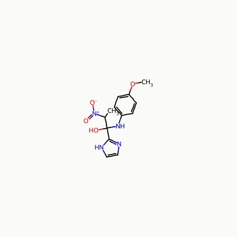 COc1ccc(NC(O)(c2ncc[nH]2)C(C)[N+](=O)[O-])cc1